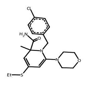 CCSC1=CC(C)(C(N)=O)N(Cc2ccc(Cl)cc2)C(N2CCOCC2)=C1